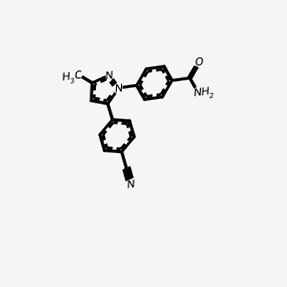 Cc1cc(-c2ccc(C#N)cc2)n(-c2ccc(C(N)=O)cc2)n1